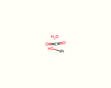 CC(C)O.O.O=C=O